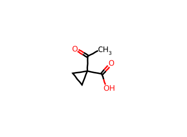 CC(=O)C1(C(=O)O)CC1